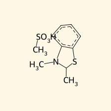 CC1Sc2ccccc2N1C.CS(=O)(=O)O